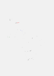 CC(C)C(=O)Cc1nc(OCCC2CC2)c(OCc2ccccc2)cc1Br